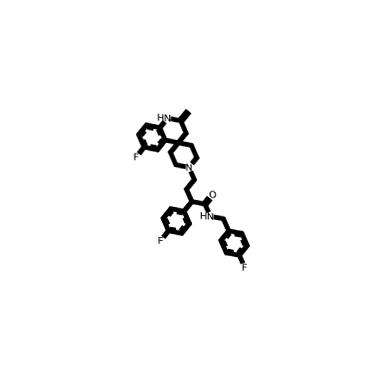 C=C1CC2(CCN(CCC(C(=O)NCc3ccc(F)cc3)c3ccc(F)cc3)CC2)c2cc(F)ccc2N1